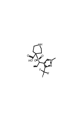 C=CC(c1cn(C)nc1C(F)(F)F)S(=O)(=O)C1(C(=O)O)CCNCC1